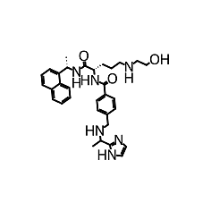 CC(NCc1ccc(C(=O)N[C@@H](CCCNCCO)C(=O)N[C@@H](C)c2cccc3ccccc23)cc1)c1ncc[nH]1